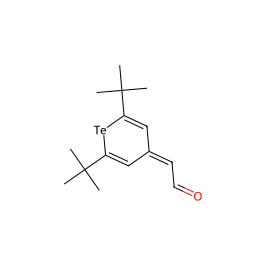 CC(C)(C)C1=CC(=CC=O)C=C(C(C)(C)C)[Te]1